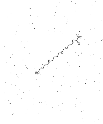 C=C(C)C(=O)OCCCCOCCCCOCCCCO